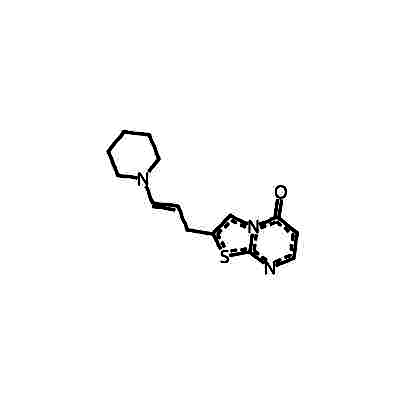 O=c1ccnc2sc(CC=CN3CCCCC3)cn12